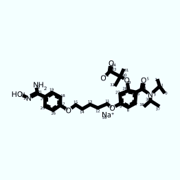 CC(C)N(C(=O)c1ccc(OCCCCCOc2ccc(C(N)=NO)cc2)cc1OC(C)(C)C(=O)[O-])C(C)C.[Na+]